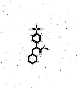 COC(=O)C(CC1CCCCC1)c1ccc(S(C)(=O)=O)cc1